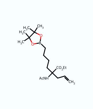 C=CCC(CCCCB1OC(C)(C)C(C)(C)O1)(NC(C)=O)C(=O)OCC